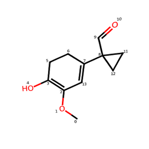 COC1=C(O)CCC(C2(C=O)CC2)=C1